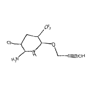 C#CCOC1NC(N)C(Cl)CC1C(F)(F)F